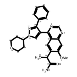 COc1cc2ncnc(-c3cn(C4CCOCC4)nc3-c3ccccc3)c2cc1C(C)C(N)=O